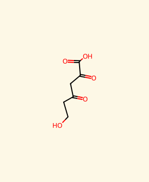 O=C(CCO)CC(=O)C(=O)O